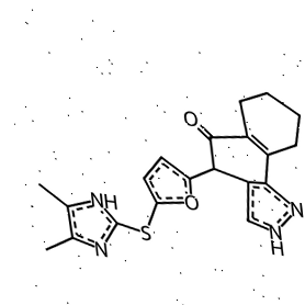 Cc1nc(Sc2ccc(C3C(=O)C4=C(CCCC4)c4n[nH]cc43)o2)[nH]c1C